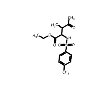 CCOC(=O)C(NS(=O)(=O)c1ccc(C)cc1)C(C)C(C)=O